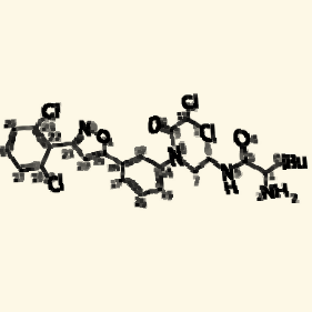 CCC(C)C(N)C(=O)NCCN(C(=O)C(Cl)Cl)c1cccc(-c2cc(-c3c(Cl)cccc3Cl)no2)c1